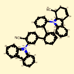 N#Cc1ccc(-c2ccccc2-c2ccccc2-n2c3c(c4ccccc42)C=CCC3C#N)cc1-n1c2ccccc2c2ccccc21